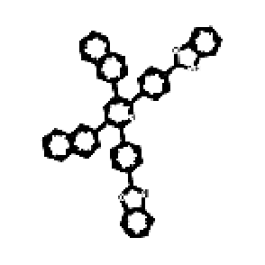 c1ccc2c(c1)NC(c1ccc(-c3nc(-c4ccc(C5Nc6ccccc6O5)cc4)c(-c4ccc5ccccc5c4)cc3-c3ccc4ccccc4c3)cc1)O2